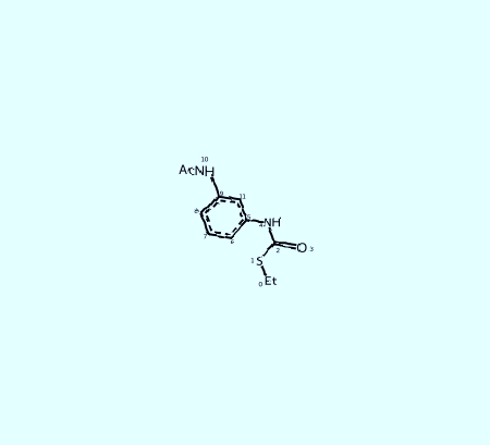 CCSC(=O)Nc1cccc(NC(C)=O)c1